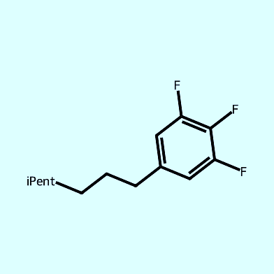 CCCC(C)CCCc1cc(F)c(F)c(F)c1